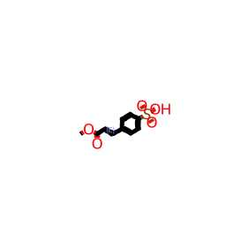 COC(=O)/C=C/c1ccc(S(=O)(=O)O)cc1